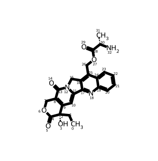 CC[C@@]1(O)C(=O)OCc2c1cc1n(c2=O)Cc2c-1nc1ccccc1c2COC(=O)[C@H](C)N